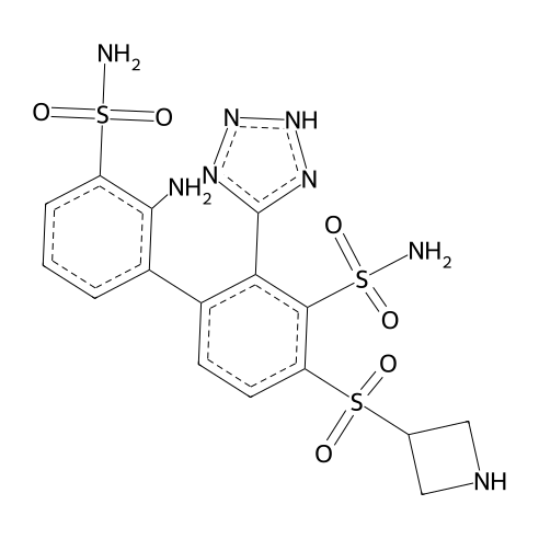 Nc1c(-c2ccc(S(=O)(=O)C3CNC3)c(S(N)(=O)=O)c2-c2nn[nH]n2)cccc1S(N)(=O)=O